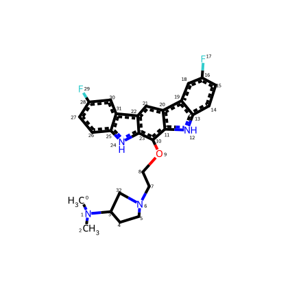 CN(C)C1CCN(CCOc2c3[nH]c4ccc(F)cc4c3cc3c2[nH]c2ccc(F)cc23)C1